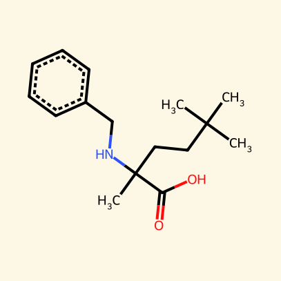 CC(C)(C)CCC(C)(NCc1ccccc1)C(=O)O